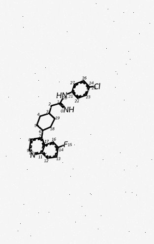 N=C(CC1CCC(c2ccnc3ccc(F)cc23)CC1)Nc1ccc(Cl)cc1